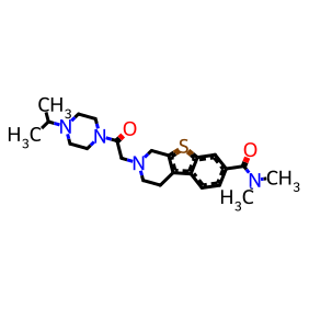 CC(C)N1CCN(C(=O)CN2CCc3c(sc4cc(C(=O)N(C)C)ccc34)C2)CC1